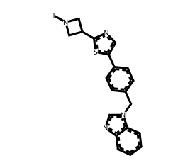 IN1CC(c2ncc(-c3ccc(Cn4cnc5ccccc54)cc3)s2)C1